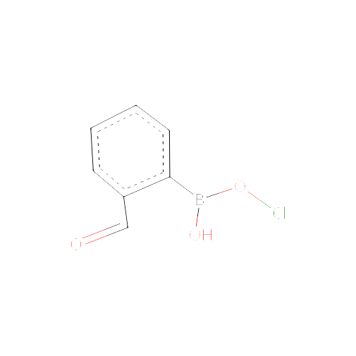 O=Cc1ccccc1B(O)OCl